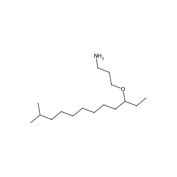 CCC(CCCCCCCC(C)C)OCCCN